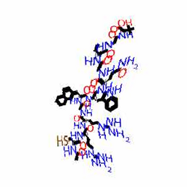 CC[C@H](NC(=O)CNC(=O)[C@H](CCC(N)=O)NC(=O)[C@H](Cc1c[nH]c2ccccc12)NC(=O)[C@H](Cc1ccc2ccccc2c1)NC(=O)CNC(=O)[C@H](CCCNC(=N)N)NC(=O)[C@@H](CCCNC(=N)N)NC(=O)[C@H](CS)NC(C)=O)C(=O)NCC(=O)N[C@H](C(=O)O)C(C)(C)C